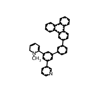 CN1CC=CC=C1c1cc(-c2cccnc2)cc(-c2cccc(-c3ccc4c5ccccc5c5ccccc5c4c3)c2)c1